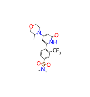 CC1COCCN1c1cc(-c2ccc(S(=O)(=O)N(C)C)cc2C(F)(F)F)[nH]c(=O)c1